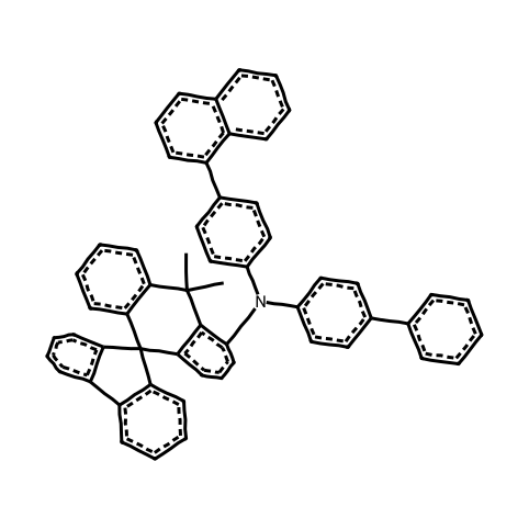 CC1(C)c2ccccc2C2(c3ccccc3-c3ccccc32)c2cccc(N(c3ccc(-c4ccccc4)cc3)c3ccc(-c4cccc5ccccc45)cc3)c21